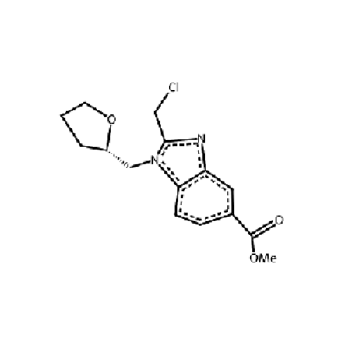 COC(=O)c1ccc2c(c1)nc(CCl)n2C[C@@H]1CCCO1